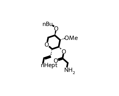 CCCCCCCC=C[C@@H]1OC[C@@H](OCCCC)[C@H](OC)[C@@H]1OC(=O)CN